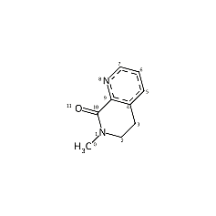 CN1CCc2cccnc2C1=O